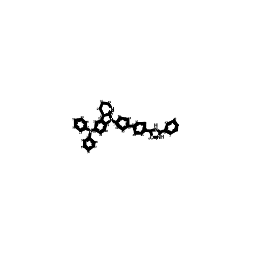 c1ccc(C2NOC(c3ccc(-c4ccc(N5C6=NCCCC6c6cc(N(c7ccccc7)c7ccccc7)ccc65)cc4)cc3)N2)cc1